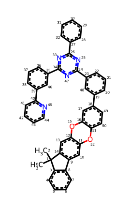 CC1(C)c2ccccc2-c2cc3c(cc21)Oc1cc(-c2cccc(-c4nc(-c5ccccc5)nc(-c5cccc(-c6ccccn6)c5)n4)c2)ccc1O3